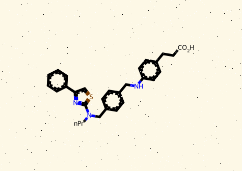 CCCN(Cc1ccc(CNc2ccc(CCC(=O)O)cc2)cc1)c1nc(-c2ccccc2)cs1